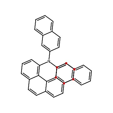 c1ccc(N(c2ccc3ccccc3c2)c2cccc3ccc4ccc5c6ccccc6ccc5c4c23)cc1